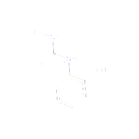 Cc1ccc(F)cc1NC(=O)NS